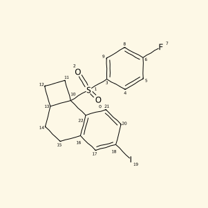 O=S(=O)(c1ccc(F)cc1)C12CCC1CCc1cc(I)ccc12